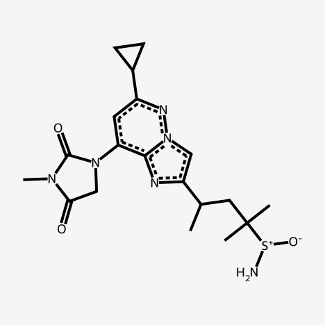 CC(CC(C)(C)[S+](N)[O-])c1cn2nc(C3CC3)cc(N3CC(=O)N(C)C3=O)c2n1